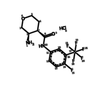 Cl.N[C@H]1COCC[C@H]1C(=O)Nc1ccc(F)c(S(F)(F)(F)(F)F)c1